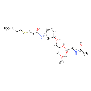 CCCCSCCC(=O)Nc1cccc(OCC(COC)OC(=O)CNC(C)=O)c1